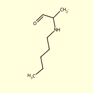 [CH2]C(C=O)NCCCCC